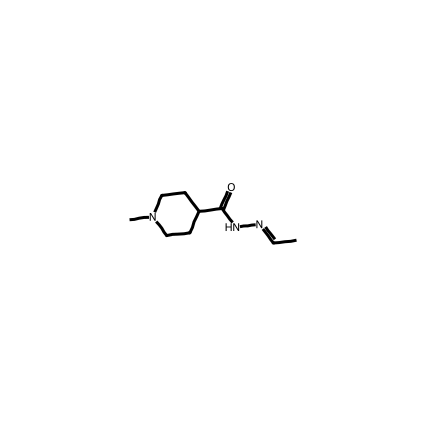 C/C=N/NC(=O)C1CCN(C)CC1